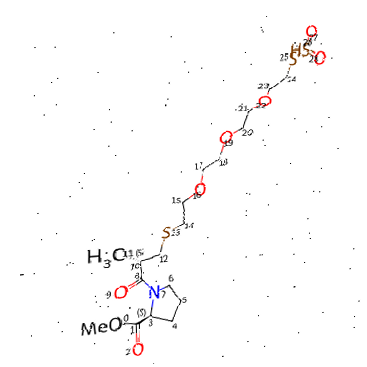 COC(=O)[C@@H]1CCCN1C(=O)[C@H](C)CSCCOCCOCCOCCS[SH](=O)=O